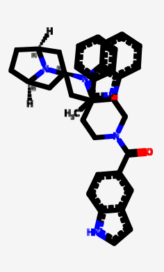 Cc1nc2ccccc2n1[C@H]1C[C@H]2CC[C@@H](C1)N2CCC1(c2ccccc2)CCN(C(=O)c2ccc3[nH]ccc3c2)CC1